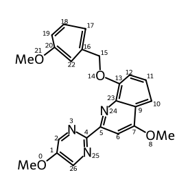 COc1cnc(-c2cc(OC)c3cccc(OCc4cccc(OC)c4)c3n2)nc1